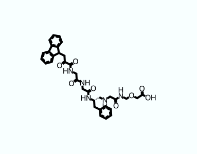 O=C(O)COCNC(=O)CNC[C@H](Cc1ccccc1)NC(=O)CNC(=O)CNC(=O)C(=O)CC1c2ccccc2-c2ccccc21